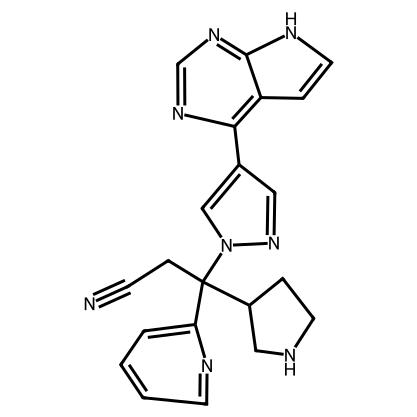 N#CCC(c1ccccn1)(C1CCNC1)n1cc(-c2ncnc3[nH]ccc23)cn1